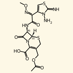 CON=C(C(=O)N[C@@H]1C(=O)N2C(C(=O)O)=C(COC(C)=O)CS[C@@H]12)c1csc(=N)n1N